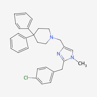 Cn1cc(CN2CCC(c3ccccc3)(c3ccccc3)CC2)nc1Cc1ccc(Cl)cc1